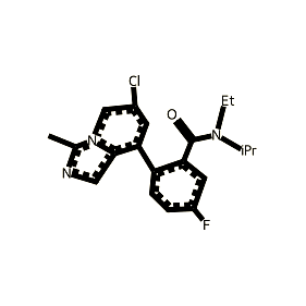 CCN(C(=O)c1cc(F)ccc1-c1cc(Cl)cn2c(C)ncc12)C(C)C